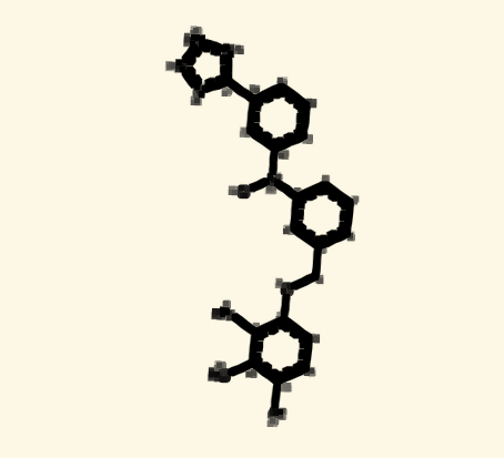 CCCc1c(OCc2cccc([S+]([O-])c3cccc(-c4nn[nH]n4)c3)c2)ccc(C(C)=O)c1O